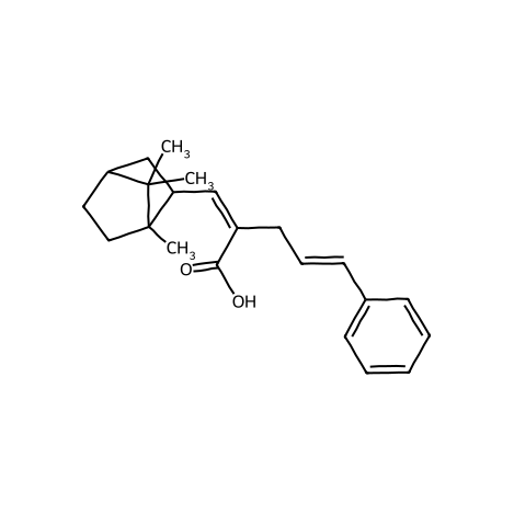 CC1(C)C2CCC1(C)C(C=C(CC=Cc1ccccc1)C(=O)O)C2